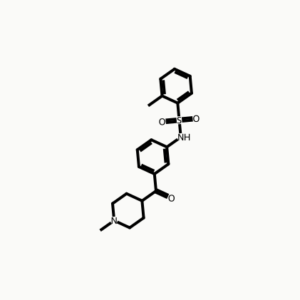 Cc1ccccc1S(=O)(=O)Nc1cccc(C(=O)C2CCN(C)CC2)c1